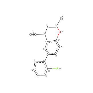 CCC1=CC(C=O)c2cc(-c3ccccc3F)ccc2O1